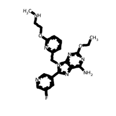 CCOc1nc(N)c2nc(-c3cncc(F)c3)n(Cc3cccc(OCCNC)n3)c2n1